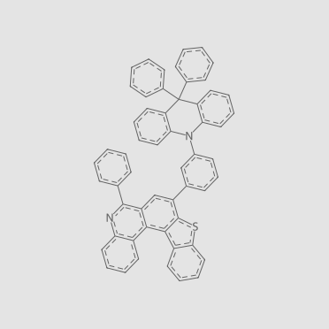 c1ccc(-c2nc3ccccc3c3c2cc(-c2cccc(N4c5ccccc5C(c5ccccc5)(c5ccccc5)c5ccccc54)c2)c2sc4ccccc4c23)cc1